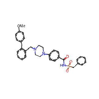 COc1ccc(-c2ccccc2CN2CCN(c3ccc(C(=O)NS(=O)(=O)Cc4ccccc4)cc3)CC2)cc1